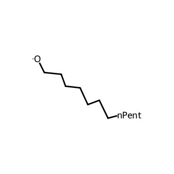 [CH2]CCCCCCCCCCC[O]